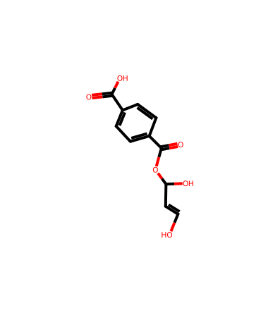 O=C(O)c1ccc(C(=O)OC(O)C=CO)cc1